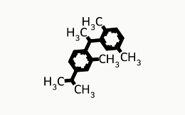 C[C](c1ccc(C(C)C)cc1C)c1cc(C)ccc1C